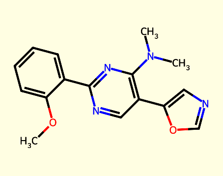 COc1ccccc1-c1ncc(-c2cnco2)c(N(C)C)n1